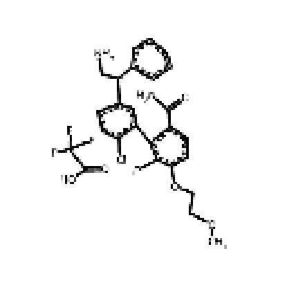 COCCOc1ccc(C(N)=O)c(-c2cc(C(CN)c3ccccc3)ccc2Cl)c1F.O=C(O)C(F)(F)F